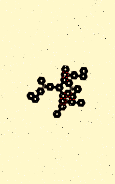 c1c(-c2cccc3ccccc23)ccc(N(c2ccccc2)c2ccc(-c3cc(-c4ccc(N(c5ccccc5)c5ccc(-c6cccc7ccccc67)cc5)cc4)cc(-c4ccc(N(c5ccc(-c6ccccc6)cc5)c5ccc(-c6ccccc6)cc5)c(-c5cccc(-c6ccccc6N(c6ccc(-c7ccccc7)cc6)c6ccc(-c7ccccc7)cc6)c5)c4)c3)cc2)c#1